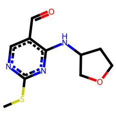 CSc1ncc(C=O)c(NC2CCOC2)n1